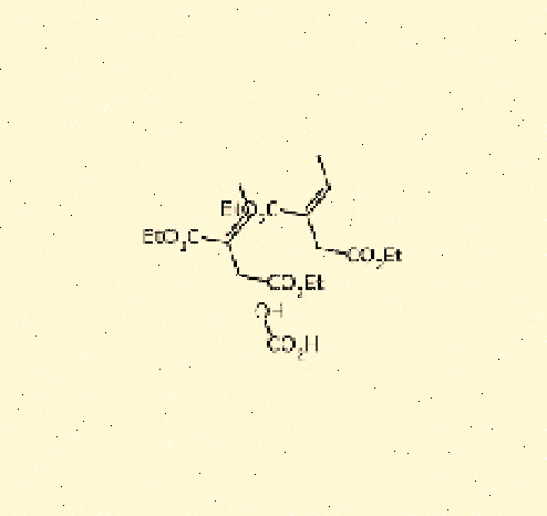 CC=C(CC(=O)OCC)C(=O)OCC.CC=C(CC(=O)OCC)C(=O)OCC.O=C(O)O